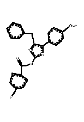 COc1ccc(-c2nc(NC(=O)c3ccc(F)cc3)sc2Cc2ccccc2)cc1